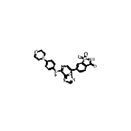 O=C1NS(=O)(=O)c2cc(-c3cnc(Nc4ccc(N5CCOCC5)cc4)c4ncnn34)ccc21